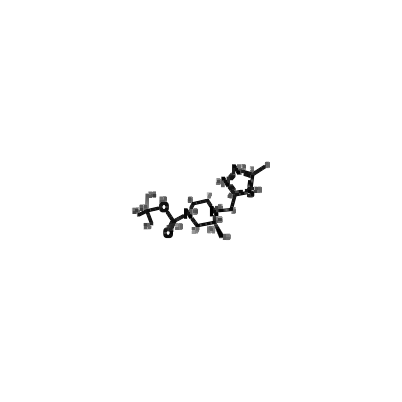 Cc1nnc(CN2CCN(C(=O)OC(C)(C)C)C[C@@H]2C)s1